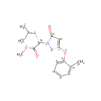 COC(=O)[C@H](CC(C)C)N1CC(Oc2ccccc2C)=CC1=O